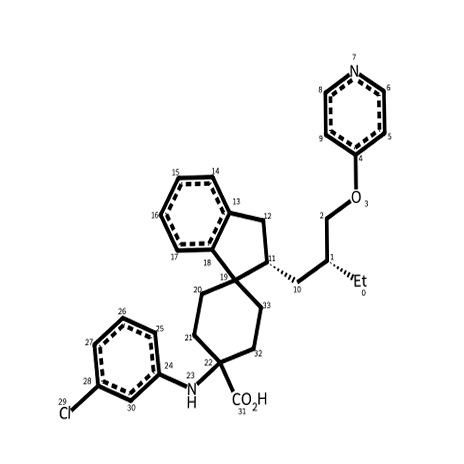 CC[C@@H](COc1ccncc1)C[C@H]1Cc2ccccc2C12CCC(Nc1cccc(Cl)c1)(C(=O)O)CC2